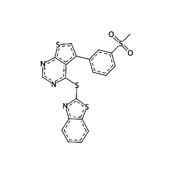 CS(=O)(=O)c1cccc(-c2csc3ncnc(Sc4nc5ccccc5s4)c23)c1